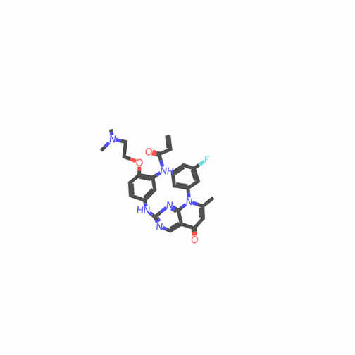 C=CC(=O)Nc1cc(Nc2ncc3c(=O)cc(C)n(-c4cccc(F)c4)c3n2)ccc1OCCN(C)C